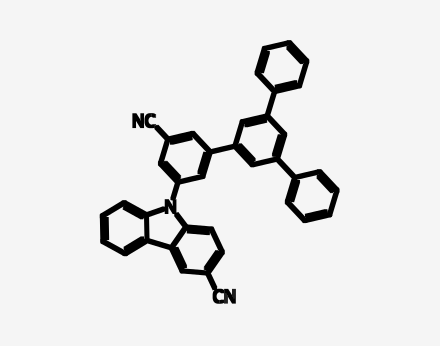 N#Cc1cc(-c2cc(-c3ccccc3)cc(-c3ccccc3)c2)cc(-n2c3ccccc3c3cc(C#N)ccc32)c1